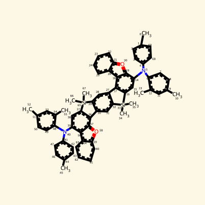 Cc1ccc(N(c2ccc(C)cc2C)c2cc3c(c4c2oc2ccccc24)-c2cc4c(cc2[Si]3(C)C)-c2c(cc(N(c3ccc(C)cc3)c3ccc(C)cc3C)c3c2oc2ccccc23)[Si]4(C)C)cc1